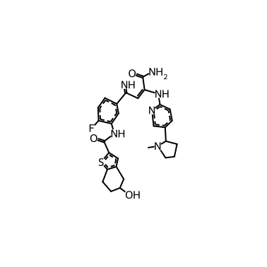 CN1CCCC1c1ccc(N/C(=C/C(=N)c2ccc(F)c(NC(=O)c3cc4c(s3)CCC(O)C4)c2)C(N)=O)nc1